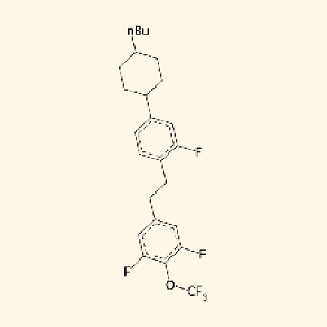 CCCCC1CCC(c2ccc(CCc3cc(F)c(OC(F)(F)F)c(F)c3)c(F)c2)CC1